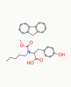 CCCCCN(C(=O)OC)C(Cc1ccc(O)cc1)C(=O)O.c1ccc2c(c1)Cc1ccccc1-2